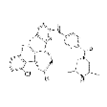 CC1CN(C(=O)c2ccc(Nc3ncc4c(n3)C3=CN=C(Cl)C=C(c5c(F)cccc5Cl)C3=CC4)cc2)CC(C)N1